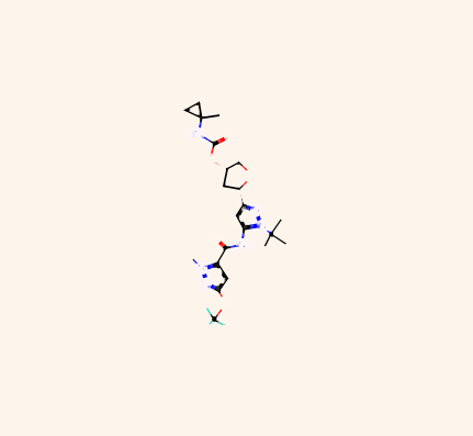 Cn1nc(OC(F)(F)F)cc1C(=O)Nc1cc([C@H]2C[C@@H](OC(=O)NC3(C)CC3)CO2)nn1C(C)(C)C